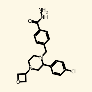 NNC(=O)c1ccc(CN2CCN(C3COC3)CC2c2ccc(Cl)cc2)cc1